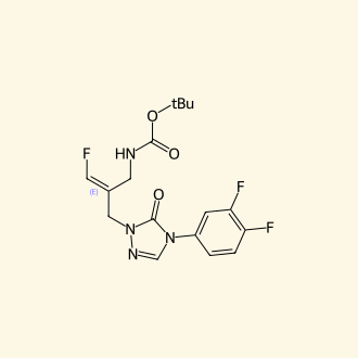 CC(C)(C)OC(=O)NC/C(=C\F)Cn1ncn(-c2ccc(F)c(F)c2)c1=O